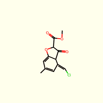 COC(=O)C1OC2=CC(C)=CC(=CCl)C2C1=O